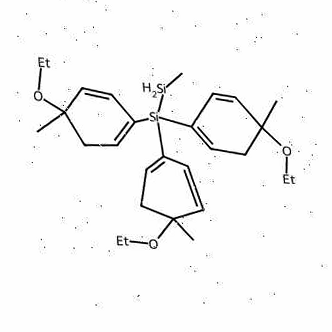 CCOC1(C)C=CC([Si]([SiH2]C)(C2=CCC(C)(OCC)C=C2)C2=CCC(C)(OCC)C=C2)=CC1